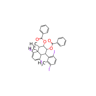 Cc1c(I)ccc(I)c1C1C(OC(=O)c2ccccc2)C(OC(=O)c2ccccc2)C(C)C2(C)C(I)=CC=C(I)C12